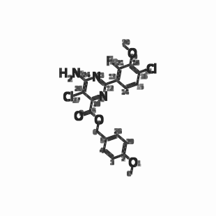 COc1ccc(COC(=O)c2nc(-c3ccc(Cl)c(OC)c3F)nc(N)c2Cl)cc1